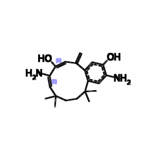 C=C1/C=C(O)\C(N)=C/C(C)(C)CCC(C)(C)c2cc(N)c(O)cc21